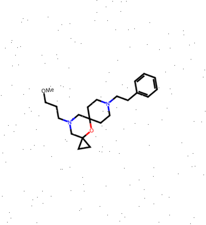 COCCCN1CC2(CCN(CCc3ccccc3)CC2)OC2(CC2)C1